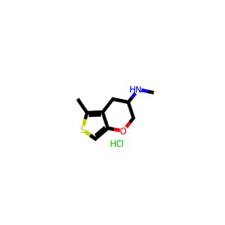 CNC1COc2csc(C)c2C1.Cl